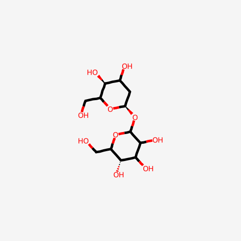 OCC1OC(O[C@@H]2CC(O)[C@H](O)C(CO)O2)C(O)C(O)[C@@H]1O